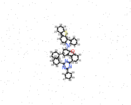 c1ccc(-c2cc(-n3c4ccccc4c4c5sc6ccccc6c5ccc43)c3oc4cccc(-c5nc(-c6ccccc6)nc(-c6ccccc6)n5)c4c3c2)cc1